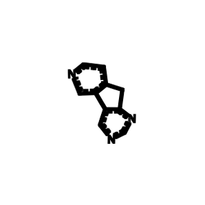 c1cc2c(cn1)-c1cncnc1C2